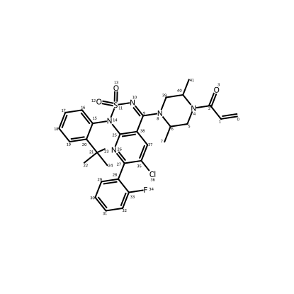 C=CC(=O)N1CC(C)N(C2=NS(=O)(=O)N(c3ccccc3C(C)(C)C)c3nc(-c4ccccc4F)c(Cl)cc32)CC1C